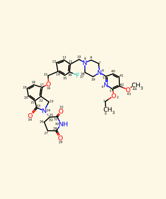 CCOc1nc(N2CCN(Cc3ccc(COc4cccc5c4CN([C@H]4CCC(=O)NC4=O)C5=O)cc3F)CC2)ccc1OC